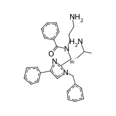 CC(N)C[C@H](c1nc(-c2ccccc2)cn1Cc1ccccc1)N(CCCN)C(=O)c1ccccc1